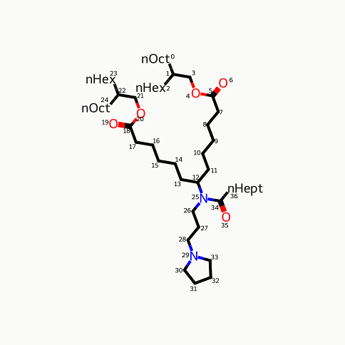 CCCCCCCCC(CCCCCC)COC(=O)CCCCCC(CCCCCC(=O)OCC(CCCCCC)CCCCCCCC)N(CCCN1CCCC1)C(=O)CCCCCCC